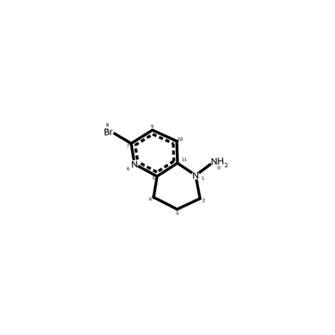 NN1CCCc2nc(Br)ccc21